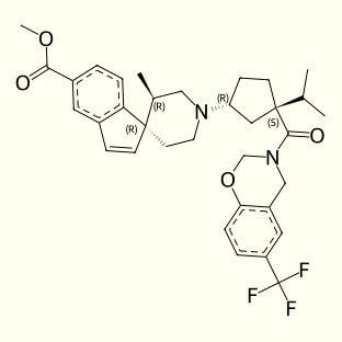 COC(=O)c1ccc2c(c1)C=C[C@@]21CCN([C@@H]2CC[C@@](C(=O)N3COc4ccc(C(F)(F)F)cc4C3)(C(C)C)C2)C[C@@H]1C